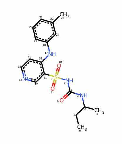 CCC(C)NC(=O)NS(=O)(=O)c1cnccc1Nc1cccc(C)c1